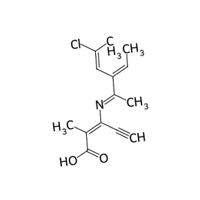 C#CC(/N=C(C)/C(/C=C(\C)Cl)=C/C)=C(/C)C(=O)O